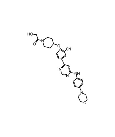 N#Cc1cc(-c2ncnc(Nc3ccc(N4CCOCC4)cc3)n2)ccc1OC1CCN(C(=O)CO)CC1